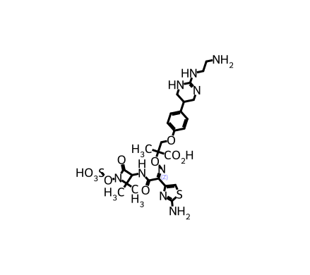 CC(COc1ccc(C2CN=C(NCCN)NC2)cc1)(O/N=C(\C(=O)NC1C(=O)N(OS(=O)(=O)O)C1(C)C)c1csc(N)n1)C(=O)O